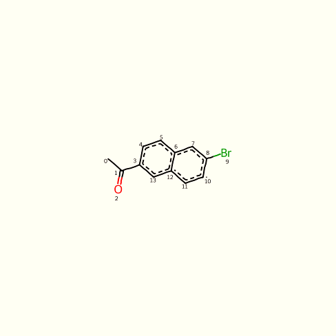 CC(=O)c1ccc2cc(Br)[c]cc2c1